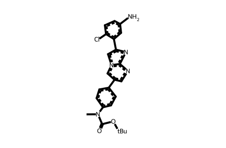 CN(C(=O)OC(C)(C)C)c1ccc(-c2cnc3nc(-c4cc(N)ccc4Cl)cn3c2)cc1